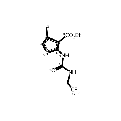 CCOC(=O)c1c(C)csc1NC(=O)NCC(F)(F)F